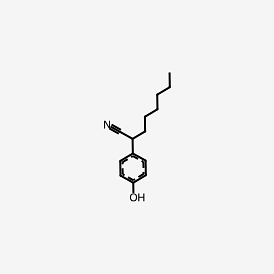 CCCCCCC(C#N)c1ccc(O)cc1